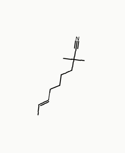 CC=CCCCCC(C)(C)C#N